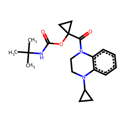 CC(C)(C)NC(=O)OC1(C(=O)N2CCN(C3CC3)c3ccccc32)CC1